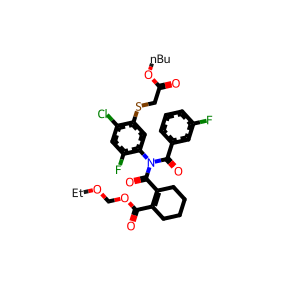 CCCCOC(=O)CSc1cc(N(C(=O)C2=C(C(=O)OCOCC)CCCC2)C(=O)c2cccc(F)c2)c(F)cc1Cl